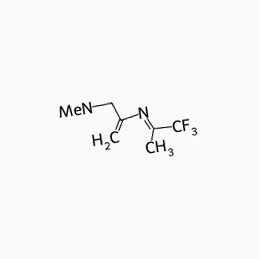 C=C(CNC)/N=C(\C)C(F)(F)F